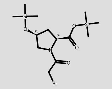 C[Si](C)(C)OC(=O)[C@@H]1C[C@H](O[Si](C)(C)C)CN1C(=O)CBr